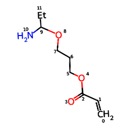 C=CC(=O)OCCCOC(N)CC